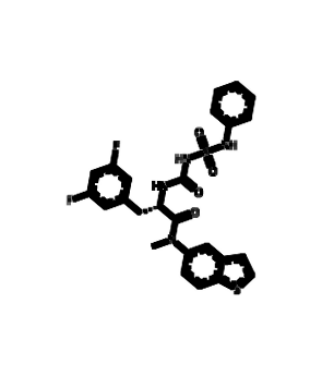 CN(C(=O)[C@H](Cc1cc(F)cc(F)c1)NC(=O)NS(=O)(=O)Nc1ccccc1)c1ccc2sccc2c1